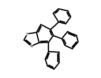 [c]1nc2c(-c3ccccc3)c(-c3ccccc3)c(-c3ccccc3)cc2s1